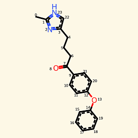 Cc1nc(CCCC(=O)c2ccc(Oc3ccccc3)cc2)c[nH]1